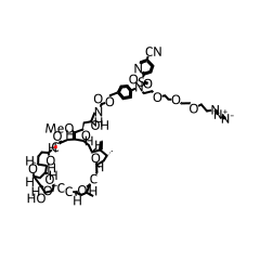 C=C1[C@H](C)C[C@@H]2CC[C@@H]3O[C@@H](CC[C@]45C[C@@H](O)[C@H](O4)[C@H]4C[C@@H](O5)[C@H]5O[C@H](CC[C@@H]5O4)CC(=O)C[C@@H]4[C@@H](OC)[C@@H](C[C@H](O)CNC(=O)OCc5ccc(N(CCOCCOCCOCCN=[N+]=[N-])S(=O)(=O)c6ccc(C#N)cn6)cc5)O[C@H]4C[C@H]1O2)CC3C